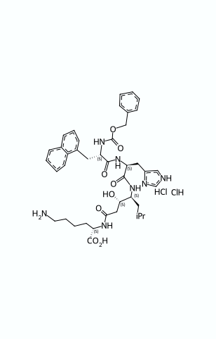 CC(C)C[C@H](NC(=O)[C@H](Cc1c[nH]cn1)NC(=O)[C@H](Cc1cccc2ccccc12)NC(=O)OCc1ccccc1)[C@@H](O)CC(=O)N[C@@H](CCCCN)C(=O)O.Cl.Cl